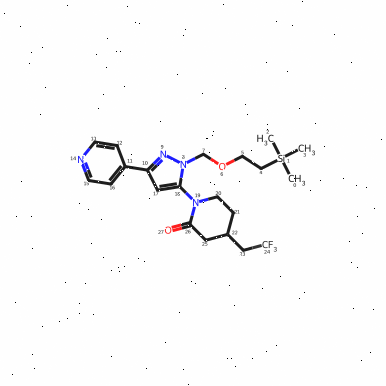 C[Si](C)(C)CCOCn1nc(-c2ccncc2)cc1N1CCC(CC(F)(F)F)CC1=O